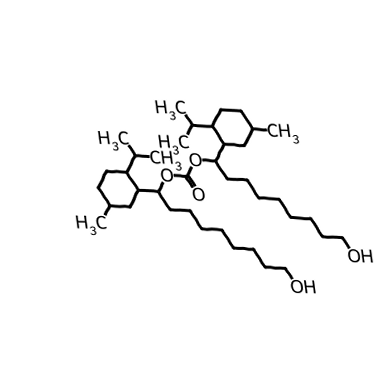 CC1CCC(C(C)C)C(C(CCCCCCCCO)OC(=O)OC(CCCCCCCCO)C2CC(C)CCC2C(C)C)C1